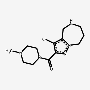 CN1CCN(C(=O)c2nn3c(c2Cl)CNCCC3)CC1